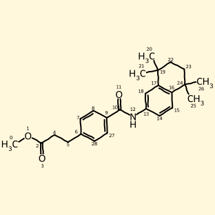 COC(=O)CCc1ccc(C(=O)Nc2ccc3c(c2)C(C)(C)CCC3(C)C)cc1